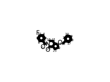 O=C(c1ccc(F)cc1)N1CCC2C(OCc3ccccc3)CCC2C1=O